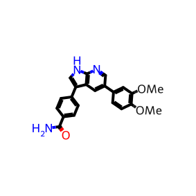 COc1ccc(-c2cnc3[nH]cc(-c4ccc(C(N)=O)cc4)c3c2)cc1OC